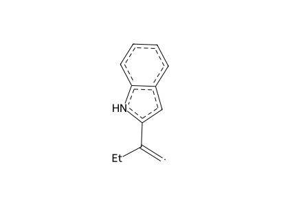 [CH]=C(CC)c1cc2ccccc2[nH]1